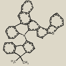 CC1(C)c2ccccc2-c2c(N(c3ccccc3-c3ccc4ccccc4c3)c3cccc4c3ccc3sc5ccccc5c34)cccc21